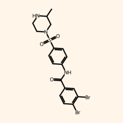 CC1CN(S(=O)(=O)c2ccc(NC(=O)c3ccc(Br)c(Br)c3)cc2)CCN1